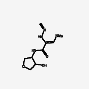 C=NN/C(=C\NC)C(=O)NC1COCC1O